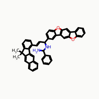 CC1(C)c2cc3ccccc3cc2-c2c(/C=C/C(NC(N)c3ccccc3)c3ccc4oc5cc6c(cc5c4c3)oc3ccccc36)cccc21